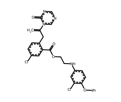 C=C(Cc1ccc(Cl)cc1C(=O)OCCNc1ccc(OC(C)C)c(Cl)c1)n1cncnc1=O